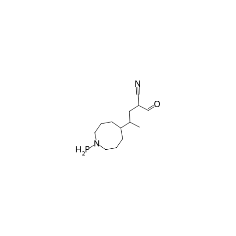 CC(CC(C#N)C=O)C1CCCN(P)CCC1